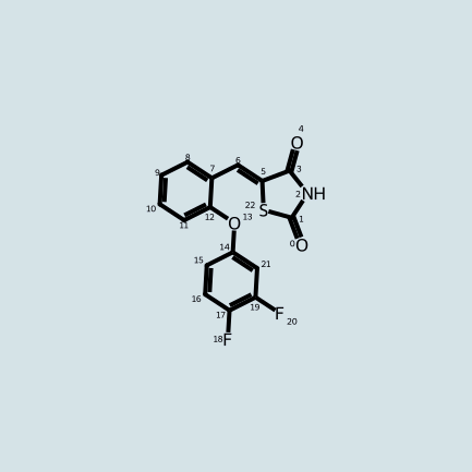 O=C1NC(=O)C(=Cc2ccccc2Oc2ccc(F)c(F)c2)S1